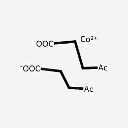 CC(=O)CCC(=O)[O-].CC(=O)CCC(=O)[O-].[Co+2]